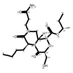 CCCC[C@H]1C(=O)N(CCC(N)=O)C[C@@H]2N(C(=O)O[C@@H](C)CC)O[C@@H](CO)C(=O)N21